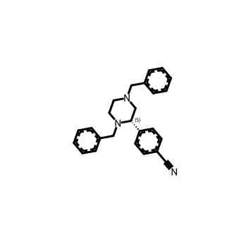 N#Cc1ccc([C@H]2CN(Cc3ccccc3)CCN2Cc2ccccc2)cc1